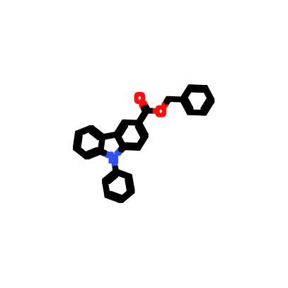 O=C(OCc1ccccc1)c1ccc2c(c1)c1ccccc1n2-c1ccccc1